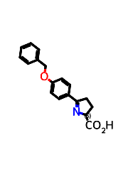 O=C(O)[C@@H]1CCC(c2ccc(OCc3ccccc3)cc2)=N1